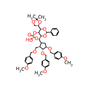 COc1ccc(COC[C@H]2C(C[C@@H]3OC(c4ccccc4)O[C@H]([C@H]4COC(C)(C)O4)[C@@H]3OS(=O)(=O)O)C[C@@H](OCc3ccc(OC)cc3)[C@@H]2OCc2ccc(OC)cc2)cc1